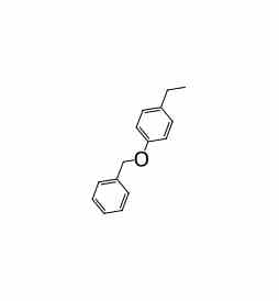 CCc1ccc(OCc2ccccc2)cc1